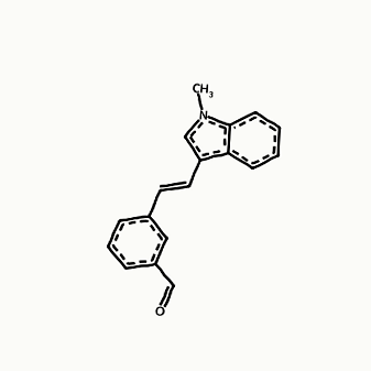 Cn1cc(/C=C/c2cccc(C=O)c2)c2ccccc21